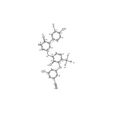 N#Cc1cc(Cl)cc(Oc2c(C(F)(F)F)ncn(Cc3cc(-c4ccc(Cl)c(F)c4)c(=O)[nH]n3)c2=O)c1